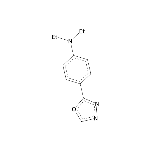 CCN(CC)c1ccc(-c2nnco2)cc1